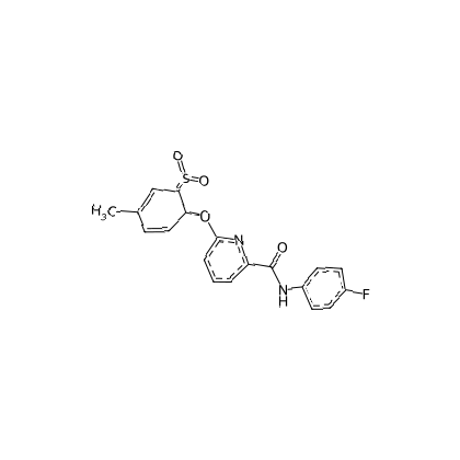 CC1=CC(=S(=O)=O)C(Oc2cccc(C(=O)Nc3ccc(F)cc3)n2)C=C1